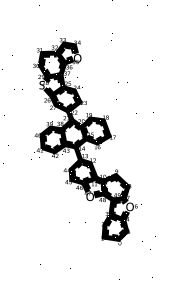 c1ccc2c(c1)oc1ccc3c4cc(-c5c6ccccc6c(-c6ccc7c(c6)sc6ccc8ccoc8c67)c6ccccc56)ccc4oc3c12